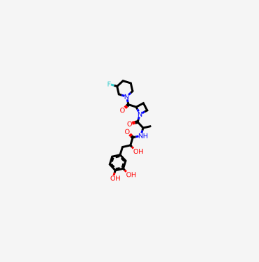 CC(NC(=O)C(O)Cc1ccc(O)c(O)c1)C(=O)N1CCC1C(=O)N1CCCC(F)C1